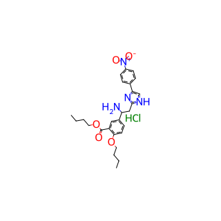 CCCCOC(=O)c1cc(C(N)Cc2nc(-c3ccc([N+](=O)[O-])cc3)c[nH]2)ccc1OCCCC.Cl